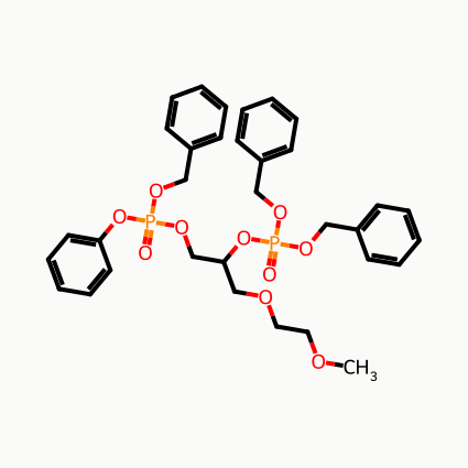 COCCOCC(COP(=O)(OCc1ccccc1)Oc1ccccc1)OP(=O)(OCc1ccccc1)OCc1ccccc1